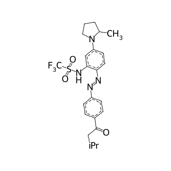 CC(C)CC(=O)c1ccc(N=Nc2ccc(N3CCCC3C)cc2NS(=O)(=O)C(F)(F)F)cc1